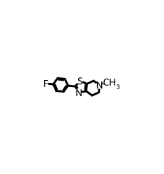 CN1CCc2nc(-c3ccc(F)cc3)sc2C1